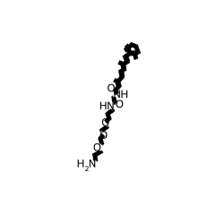 CC1=C(/C=C/C(C)=C/C=C/C(C)=C/C(=O)NCC(=O)NCCCOCCOCCOCCCN)C(C)(C)CCC1